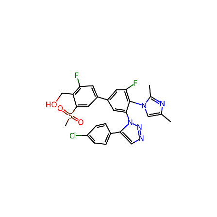 Cc1cn(-c2c(F)cc(-c3cc(F)c(CO)c(S(C)(=O)=O)c3)cc2-n2nncc2-c2ccc(Cl)cc2)c(C)n1